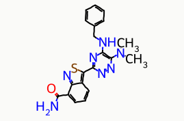 CN(C)c1nnc(-c2snc3c(C(N)=O)cccc23)nc1NCc1ccccc1